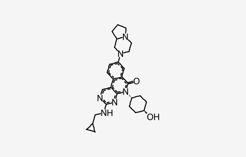 O=c1c2cc(N3CCN4CCCC4C3)ccc2c2cnc(NCC3CC3)nc2n1[C@H]1CC[C@H](O)CC1